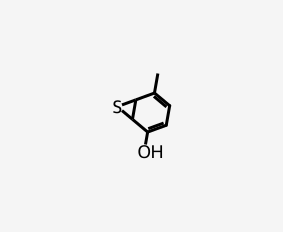 CC1=CC=C(O)C2SC12